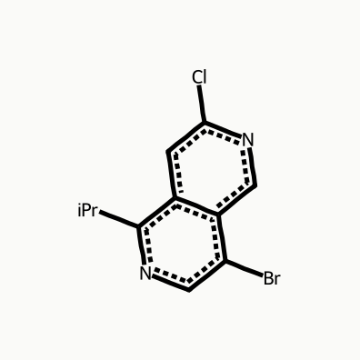 CC(C)c1ncc(Br)c2cnc(Cl)cc12